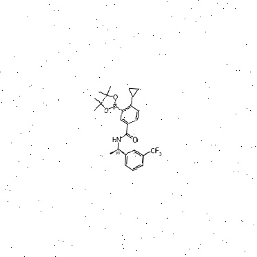 C[C@@H](NC(=O)c1ccc(C2CC2)c(B2OC(C)(C)C(C)(C)O2)c1)c1cccc(C(F)(F)F)c1